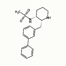 CS(=O)(=O)N[C@@H]1CCCN[C@@H]1Cc1cccc(-c2ccccc2)c1